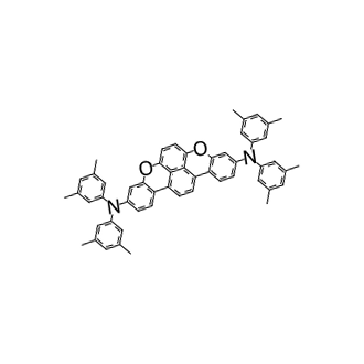 Cc1cc(C)cc(N(c2cc(C)cc(C)c2)c2ccc3c(c2)Oc2ccc4c5c(ccc-3c25)-c2ccc(N(c3cc(C)cc(C)c3)c3cc(C)cc(C)c3)cc2O4)c1